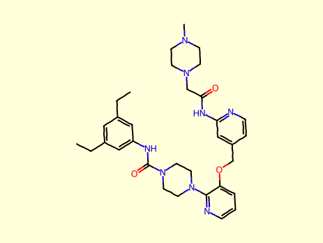 CCc1cc(CC)cc(NC(=O)N2CCN(c3ncccc3OCc3ccnc(NC(=O)CN4CCN(C)CC4)c3)CC2)c1